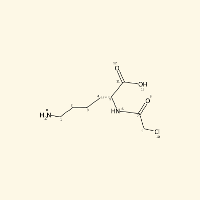 NCCCC[C@@H](NC(=O)CCl)C(=O)O